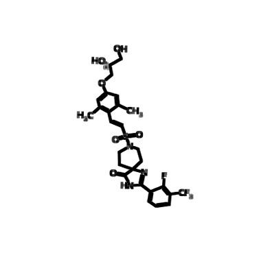 Cc1cc(OC[C@H](O)CO)cc(C)c1C=CS(=O)(=O)N1CCC2(CC1)N=C(c1cccc(C(F)(F)F)c1F)NC2=O